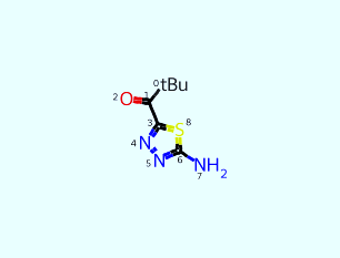 CC(C)(C)C(=O)c1nnc(N)s1